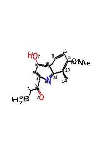 BCC(=O)c1cc(O)c2ccc(OC)c(C)c2n1